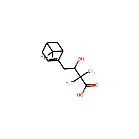 CC(C)(C(=O)O)C(O)CC1=CCC2CC1C2(C)C